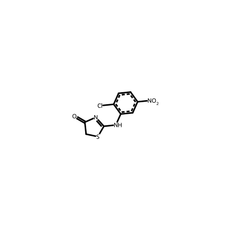 O=C1CSC(Nc2cc([N+](=O)[O-])ccc2Cl)=N1